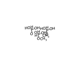 CC.O=[PH](O)O.O=[PH](O)O.O=[PH](O)O